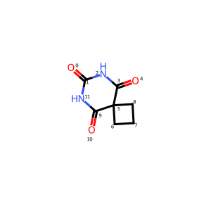 O=C1NC(=O)C2(CCC2)C(=O)N1